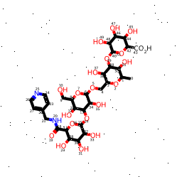 CC1OC(COC2OC(CO)C(O)C(OC3OC(C(=O)NCc4ccncc4)C(O)C(O)C3O)C2O)C(O)C(OC2OC(C(=O)O)C(O)C(O)C2O)C1O